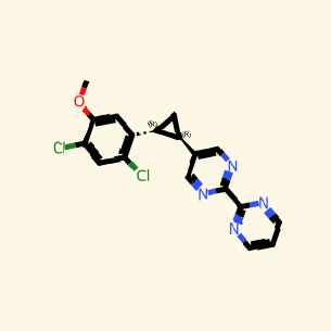 COc1cc([C@@H]2C[C@H]2c2cnc(-c3ncccn3)nc2)c(Cl)cc1Cl